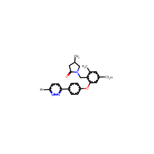 Cc1cc(C(=O)O)cc(Oc2ccc(-c3ccc(C(C)C)nn3)cc2)c1CN1CC(C)CC1=O